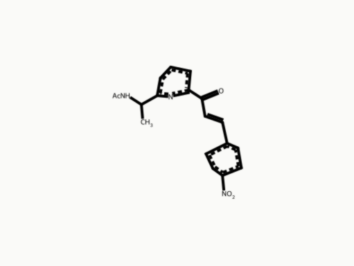 CC(=O)NC(C)c1cccc(C(=O)C=Cc2ccc([N+](=O)[O-])cc2)n1